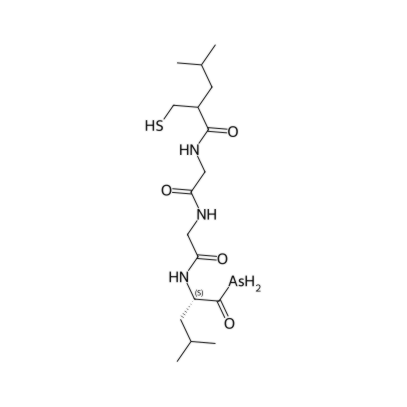 CC(C)CC(CS)C(=O)NCC(=O)NCC(=O)N[C@@H](CC(C)C)C(=O)[AsH2]